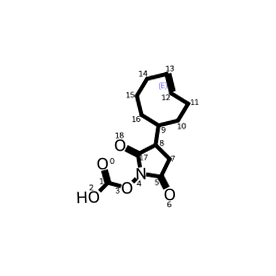 O=C(O)ON1C(=O)CC(C2CC/C=C/CCC2)C1=O